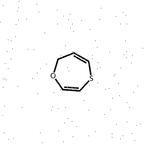 [C]1=CSC=CCO1